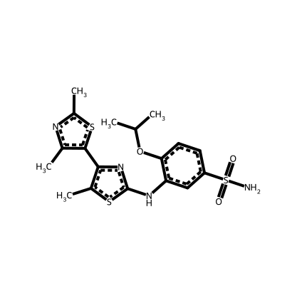 Cc1nc(C)c(-c2nc(Nc3cc(S(N)(=O)=O)ccc3OC(C)C)sc2C)s1